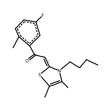 CCCCN1C(C)=C(C)S/C1=C\C(=O)c1cc(F)ccc1C